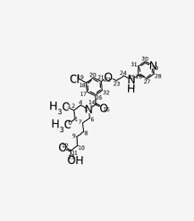 CCC(C)CN(CCCCCC(=O)O)C(=O)c1cc(Cl)cc(OCCNc2ccncc2)c1